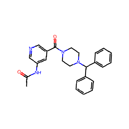 CC(=O)Nc1cncc(C(=O)N2CCN(C(c3ccccc3)c3ccccc3)CC2)c1